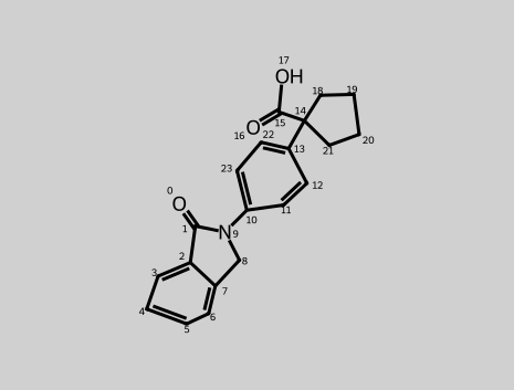 O=C1c2ccccc2CN1c1ccc(C2(C(=O)O)CCCC2)cc1